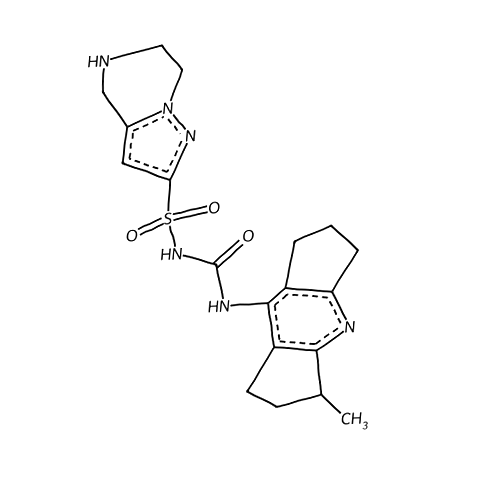 CC1CCc2c1nc1c(c2NC(=O)NS(=O)(=O)c2cc3n(n2)CCNC3)CCC1